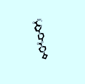 NC(=O)C1=NCC(N2CCC(OC(=O)N3CCN(C4CCC4)CC3)CC2)C=C1